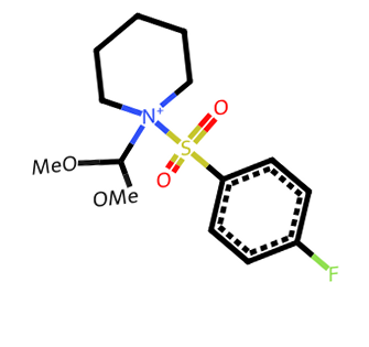 COC(OC)[N+]1(S(=O)(=O)c2ccc(F)cc2)CCCCC1